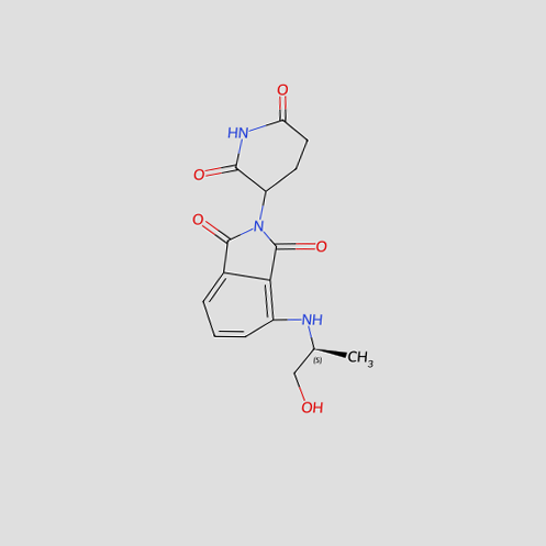 C[C@@H](CO)Nc1cccc2c1C(=O)N(C1CCC(=O)NC1=O)C2=O